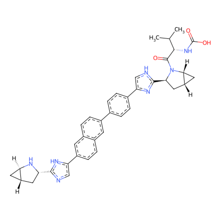 CC(C)[C@H](NC(=O)O)C(=O)N1[C@@H]2C[C@@H]2C[C@H]1c1nc(-c2ccc(-c3ccc4cc(-c5cnc([C@@H]6C[C@@H]7C[C@H]7N6)[nH]5)ccc4c3)cc2)c[nH]1